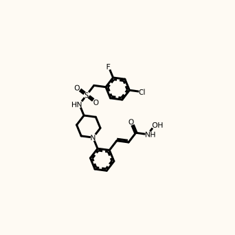 O=C(C=Cc1ccccc1N1CCC(NS(=O)(=O)Cc2ccc(Cl)cc2F)CC1)NO